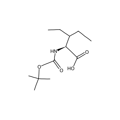 CCC(CC)[C@H](NC(=O)OC(C)(C)C)C(=O)O